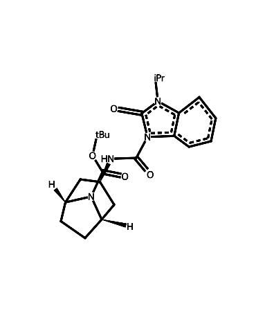 CC(C)n1c(=O)n(C(=O)N[C@@H]2C[C@H]3CC[C@@H](C2)N3C(=O)OC(C)(C)C)c2ccccc21